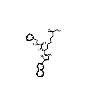 CNC(=O)CCCCCC(NC(=O)NCc1ccccc1)C1=[N+]C=C(c2ccc3ccccc3c2)N1